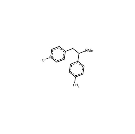 CNC(Cc1cc[n+]([O-])cc1)c1ccc(C)cc1